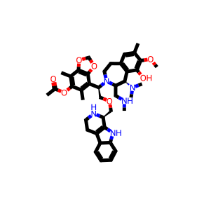 CNCC1[C@@H](N(C)C)c2c(cc(C)c(OC)c2O)CCN1[C@@H](COC[C@@H]1NCCC2=C1NC1C=CC=CC21)c1c(C)c(OC(C)=O)c(C)c2c1OCO2